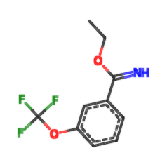 CCOC(=N)c1cccc(OC(F)(F)F)c1